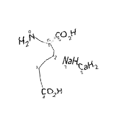 N[C@@H](CCC(=O)O)C(=O)O.[CaH2].[NaH]